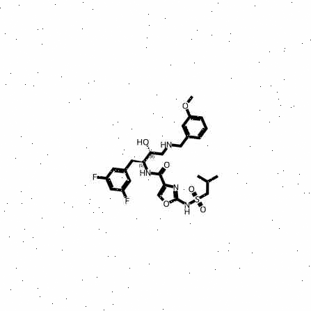 COc1cccc(CNC[C@@H](O)[C@H](Cc2cc(F)cc(F)c2)NC(=O)c2coc(NS(=O)(=O)CC(C)C)n2)c1